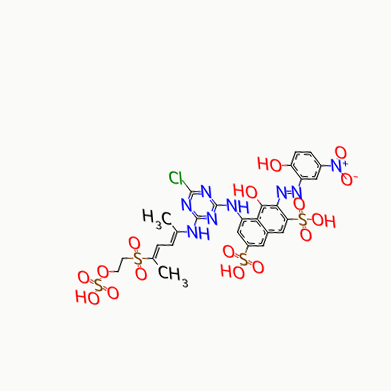 C/C(=C\C=C(/C)S(=O)(=O)CCOS(=O)(=O)O)Nc1nc(Cl)nc(Nc2cc(S(=O)(=O)O)cc3cc(S(=O)(=O)O)c(/N=N/c4cc([N+](=O)[O-])ccc4O)c(O)c23)n1